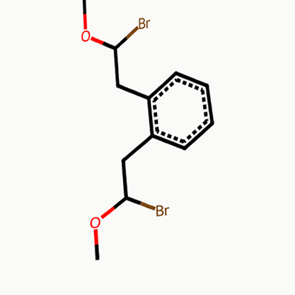 COC(Br)Cc1ccccc1CC(Br)OC